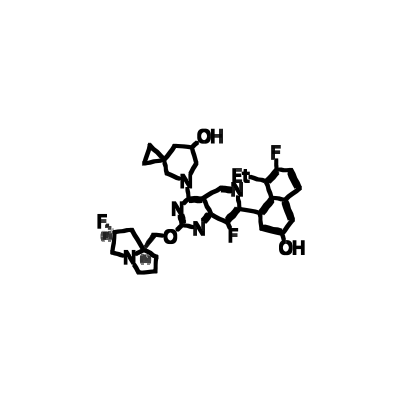 CCc1c(F)ccc2cc(O)cc(-c3ncc4c(N5CC(O)CC6(CC6)C5)nc(OC[C@@]56CCCN5C[C@H](F)C6)nc4c3F)c12